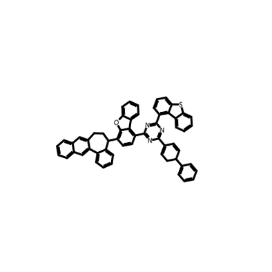 C1=CC(c2ccccc2)CC=C1c1nc(-c2cccc3sc4ccccc4c23)nc(-c2ccc(C3CCc4cc5ccccc5cc4-c4ccccc43)c3oc4ccccc4c23)n1